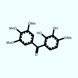 COc1ccc(C(=O)c2cc(OC)c(OC)c(OC)c2)c(O)c1O